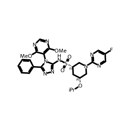 COc1ncnc(OC)c1-n1c(NS(=O)(=O)[C@H]2C[C@@H](OC(C)C)CN(c3ncc(F)cn3)C2)nnc1-c1ccccc1